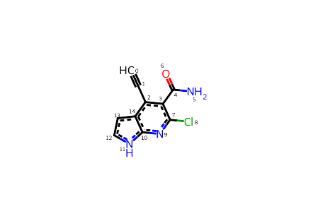 C#Cc1c(C(N)=O)c(Cl)nc2[nH]ccc12